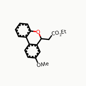 CCOC(=O)CC1Oc2ccccc2-c2ccc(OC)cc21